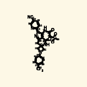 CS(=O)(=O)CC(=O)Nc1c2c(nn1-c1ccc(C#N)cn1)CC1(CN(c3ccc(C(F)(F)F)cn3)C1)NC2=O